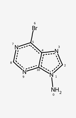 Nn1cnc2c(Br)ncnc21